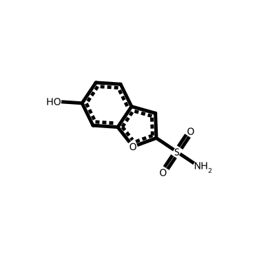 NS(=O)(=O)c1cc2ccc(O)cc2o1